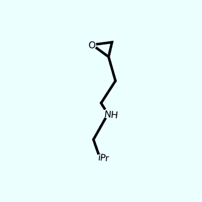 CC(C)CNCCC1CO1